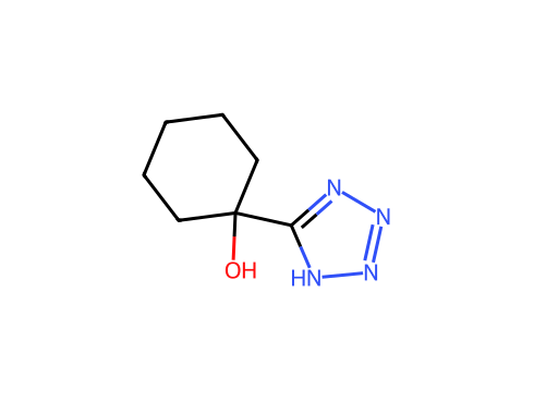 OC1(c2nnn[nH]2)CCCCC1